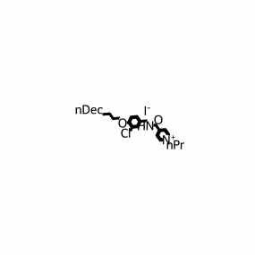 CCCCCCCCCCCCCCOc1ccc(CNC(=O)c2cc[n+](CCC)cc2)cc1Cl.[I-]